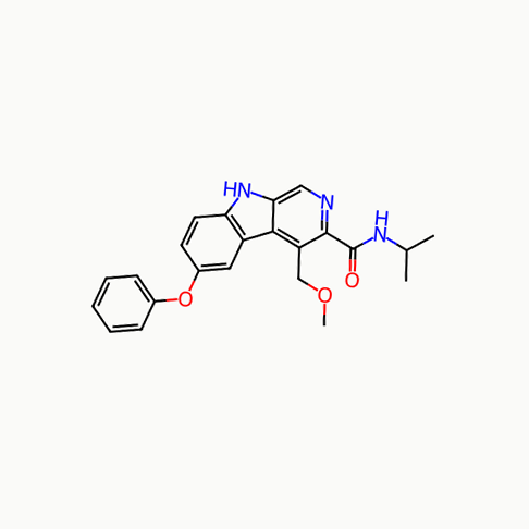 COCc1c(C(=O)NC(C)C)ncc2[nH]c3ccc(Oc4ccccc4)cc3c12